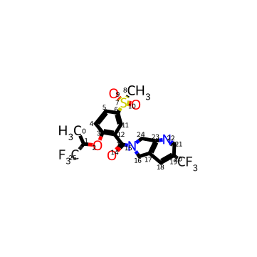 CC(Oc1ccc(S(C)(=O)=O)cc1C(=O)N1Cc2cc(C(F)(F)F)cnc2C1)C(F)(F)F